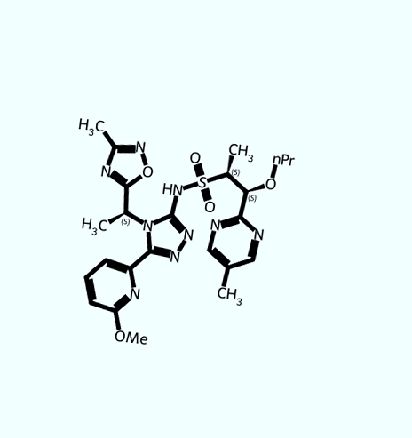 CCCO[C@@H](c1ncc(C)cn1)[C@H](C)S(=O)(=O)Nc1nnc(-c2cccc(OC)n2)n1[C@@H](C)c1nc(C)no1